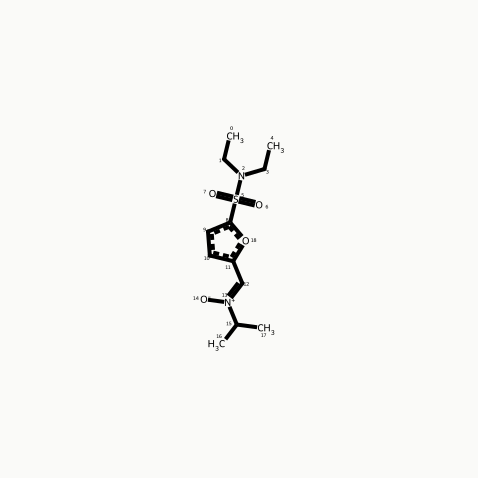 CCN(CC)S(=O)(=O)c1ccc(C=[N+]([O-])C(C)C)o1